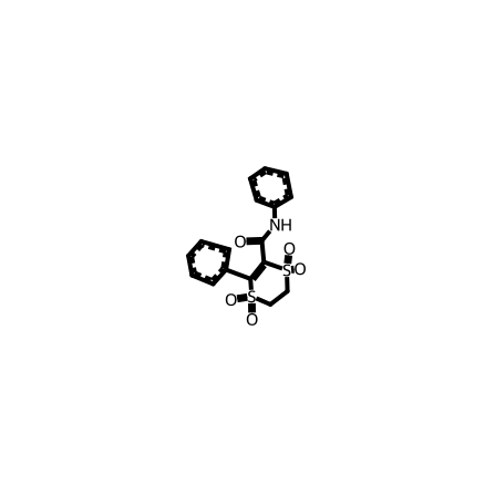 O=C(Nc1ccccc1)C1=C(c2ccccc2)S(=O)(=O)CCS1(=O)=O